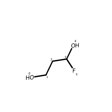 OCCC(O)F